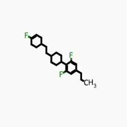 CCCc1cc(F)c(C2CCC(CCC3CC=C(F)CC3)CC2)c(F)c1